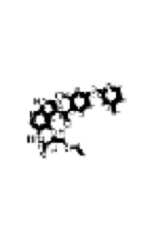 CCOC[C@]1(C)Nc2c(cnc3[nH]cc(C(O)c4ccc(Oc5cc(C)ccn5)cc4Cl)c23)NC1=O